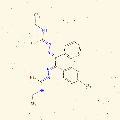 FC(F)(F)CN/C(S)=N/N=C(/C(=N/N=C(\S)NCC(F)(F)F)c1ccc(C(F)(F)F)cc1)c1ccccc1